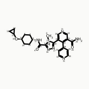 C[SH]1C(C(=O)N[C@H]2CC[C@H](OC3CC3)CC2)=NN=C1c1cncc(C(N)=O)c1-c1ccncc1